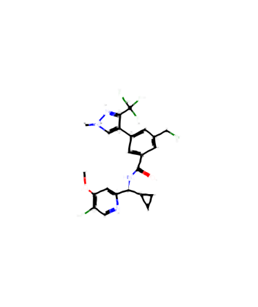 COc1cc([C@@H](NC(=O)c2cc(CBr)cc(-c3cn(C)nc3C(F)(F)F)c2)C2CC2)ncc1F